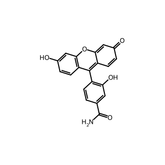 NC(=O)c1ccc(-c2c3ccc(=O)cc-3oc3cc(O)ccc23)c(O)c1